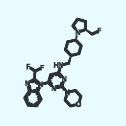 FC[C@@H]1CCCN1[C@H]1CC[C@H](CNc2cc(-n3c(C(F)F)nc4ccccc43)nc(N3CCOCC3)n2)CC1